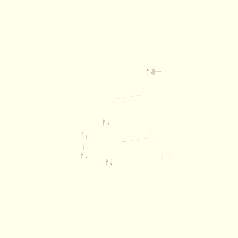 Nc1cc(Cl)c2nncn2c1